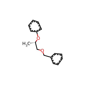 C[C@@H](COCc1ccccc1)Oc1ccccc1